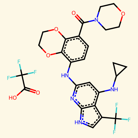 O=C(O)C(F)(F)F.O=C(c1ccc(Nc2cc(NC3CC3)c3c(C(F)(F)F)c[nH]c3n2)c2c1OCCO2)N1CCOCC1